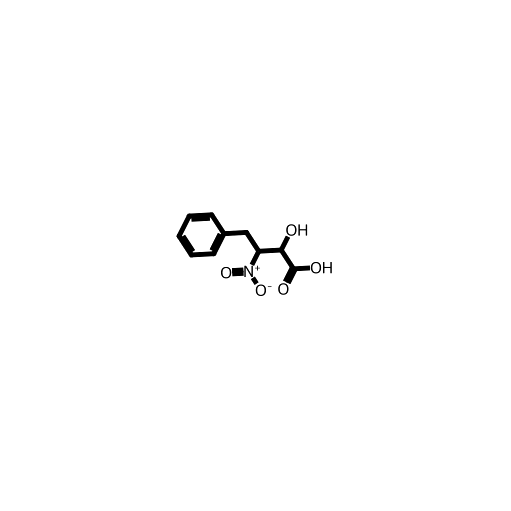 O=C(O)C(O)C(Cc1ccccc1)[N+](=O)[O-]